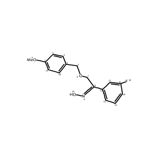 COc1ccc(COCC(=NO)c2cccc(F)c2)cc1